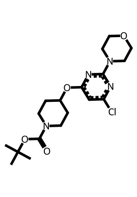 CC(C)(C)OC(=O)N1CCC(Oc2cc(Cl)nc(N3CCOCC3)n2)CC1